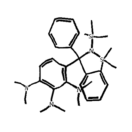 CN(C)c1ccc(C(c2ccccc2)(c2ccccc2)N([Si](C)(C)C)[Si](C)(C)C)c(N(C)C)c1N(C)C